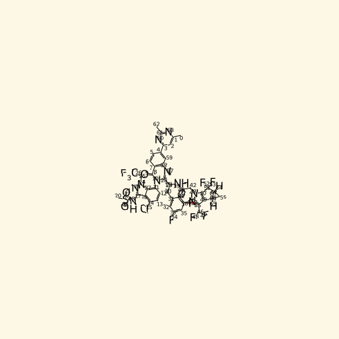 Cc1cc(-c2ccc3c(=O)n(-c4ccc(Cl)c5c(NS(C)(=O)=O)nn(CC(F)(F)F)c45)c([C@H](Cc4cc(F)cc(F)c4)NC(=O)Cn4nc(C(F)F)c5c4C(F)(F)[C@@H]4C[C@H]54)nc3c2)nc(C)n1